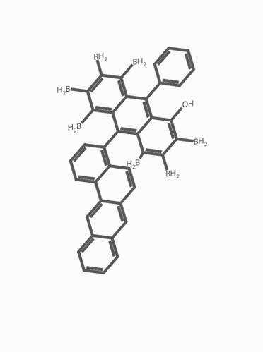 Bc1c(B)c(B)c2c(-c3ccccc3)c3c(O)c(B)c(B)c(B)c3c(-c3cccc4c3ccc3cc5ccccc5cc34)c2c1B